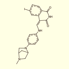 CN1CC2CC1CN2c1ccc(NC=C2C(=O)NC(=O)c3ccc(I)cc32)cc1